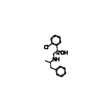 CC(Cc1ccccc1)NC[C@H](O)c1ccccc1Cl